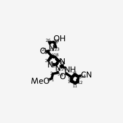 COCCCn1c(NC(=O)c2cccc(C#N)c2)nc2cc(C(=O)N3CC(O)C3)cnc21